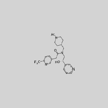 CC(=O)N1CCC(CN(C[C@@H](O)c2cccnc2)C(=O)Cc2ccc(C(F)(F)F)nc2)CC1